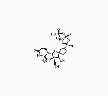 C#C[C@@]1(O)[C@H](O)[C@@](CF)(COP(=O)(O)OP(=O)(O)OP(=O)(O)O)O[C@H]1N1C=CC(=O)NC1=C